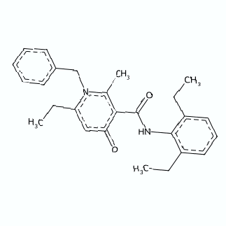 CCc1cccc(CC)c1NC(=O)c1c(C)n(Cc2ccccc2)c(CC)cc1=O